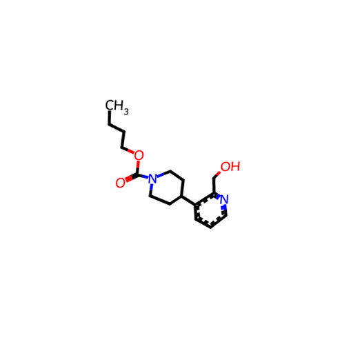 CCCCOC(=O)N1CCC(c2cccnc2CO)CC1